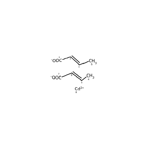 CC=CC(=O)[O-].CC=CC(=O)[O-].[Cd+2]